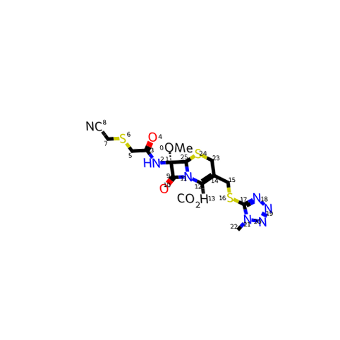 CO[C@@]1(NC(=O)CSCC#N)C(=O)N2C(C(=O)O)=C(CSc3nnnn3C)CSC21